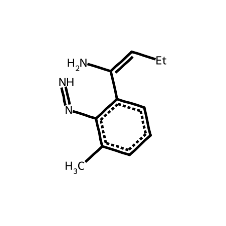 CC/C=C(/N)c1cccc(C)c1N=N